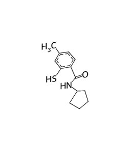 Cc1ccc(C(=O)NC2CCCC2)c(S)c1